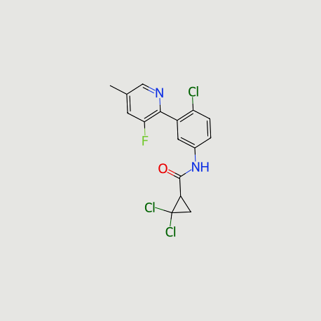 Cc1cnc(-c2cc(NC(=O)C3CC3(Cl)Cl)ccc2Cl)c(F)c1